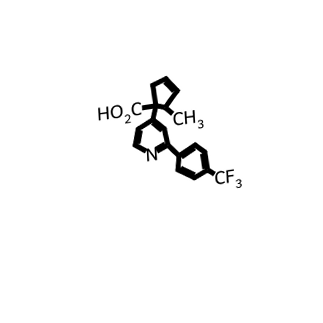 CC1C=CCC1(C(=O)O)c1ccnc(-c2ccc(C(F)(F)F)cc2)c1